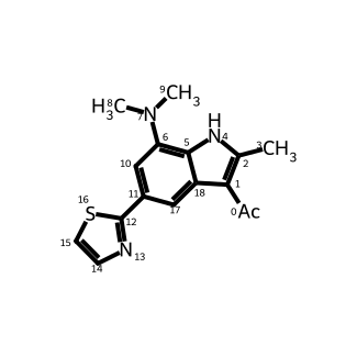 CC(=O)c1c(C)[nH]c2c(N(C)C)cc(-c3nccs3)cc12